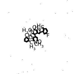 Cc1ccc(F)cc1-c1cc2c(-c3cc(=O)n(C)cc3Oc3c(C)cccc3C)cn(C)c(=O)c2[nH]1